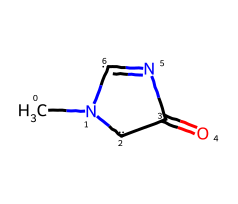 CN1[C]C(=O)N=[C]1